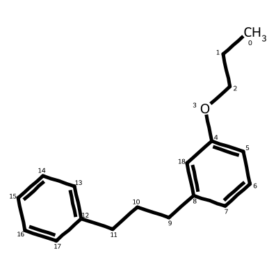 CCCOc1cccc(CCCc2ccccc2)c1